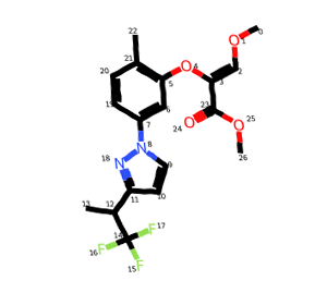 CO/C=C(\Oc1cc(-n2ccc(C(C)C(F)(F)F)n2)ccc1C)C(=O)OC